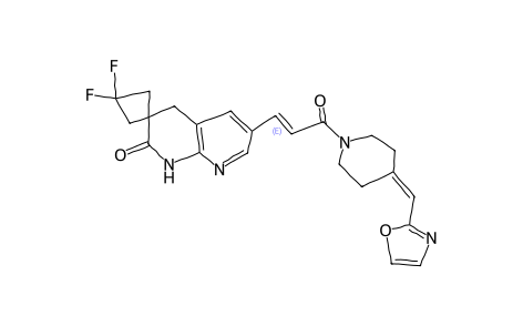 O=C(/C=C/c1cnc2c(c1)CC1(CC(F)(F)C1)C(=O)N2)N1CCC(=Cc2ncco2)CC1